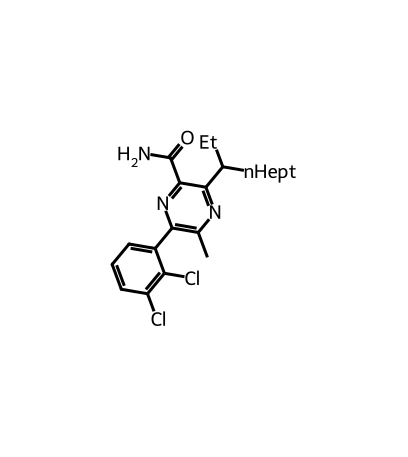 CCCCCCCC(CC)c1nc(C)c(-c2cccc(Cl)c2Cl)nc1C(N)=O